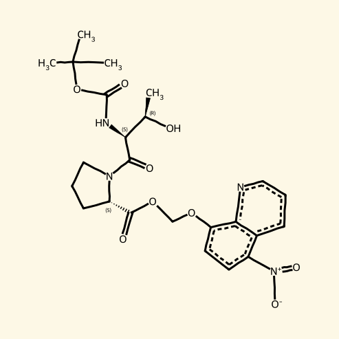 C[C@@H](O)[C@H](NC(=O)OC(C)(C)C)C(=O)N1CCC[C@H]1C(=O)OCOc1ccc([N+](=O)[O-])c2cccnc12